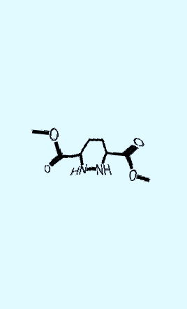 COC(=O)C1CCC(C(=O)OC)NN1